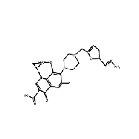 COc1c(N2CCN(Cc3ccc(/C=N/N)o3)CC2)c(F)cc2c(=O)c(C(=O)O)cn(C3CC3)c12